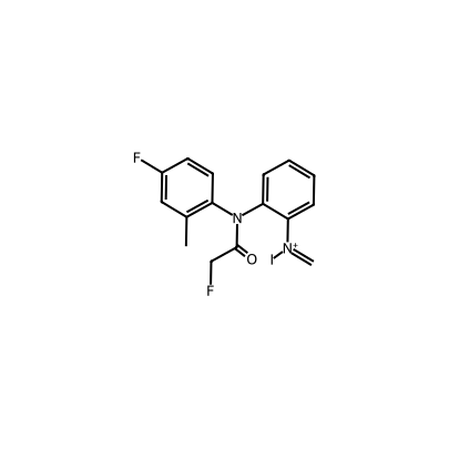 C=[N+](I)c1ccccc1N(C(=O)CF)c1ccc(F)cc1C